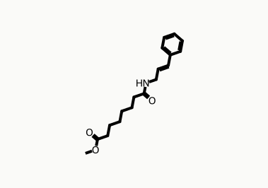 COC(=O)CCCCCCC(=O)NCC=Cc1ccccc1